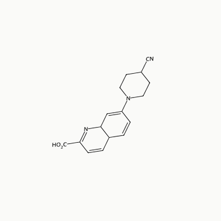 N#CC1CCN(C2=CC3N=C(C(=O)O)C=CC3C=C2)CC1